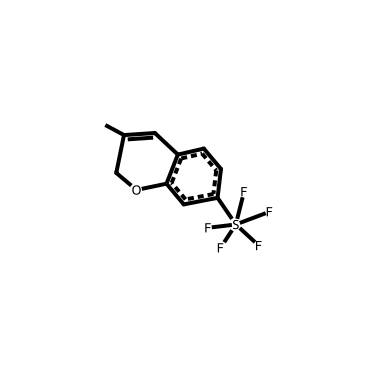 CC1=Cc2ccc(S(F)(F)(F)(F)F)cc2OC1